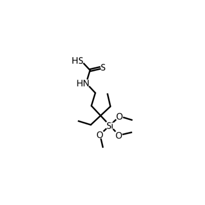 CCC(CC)(CCNC(=S)S)[Si](OC)(OC)OC